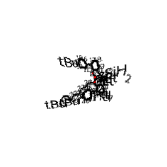 C[CH2][Zr](=[SiH2])([CH2]C)([CH]1C(C(C)C)=Cc2c(-c3ccc(C(C)(C)C)cc3)cccc21)[CH]1C(C)=C(CCCCCCOC(C)(C)C)c2c(-c3ccc(C(C)(C)C)cc3)cccc21.Cl.Cl